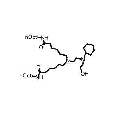 CCCCCCCCNC(=O)CCCCCN(CCCCCC(=O)NCCCCCCCC)CCN(CCO)C1CCCCC1